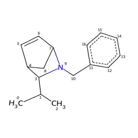 CC(C)C1C2C=CC(C2)N1Cc1ccccc1